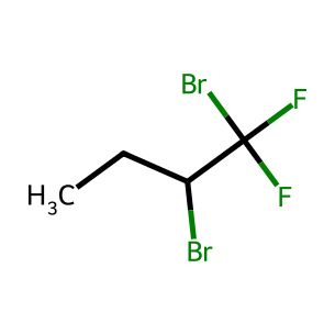 CCC(Br)C(F)(F)Br